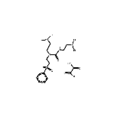 CCN(CC)CCNC(=O)N(CCN(CC)CC)CCS(=O)(=O)c1ccccc1.O=C(O)C(=O)O